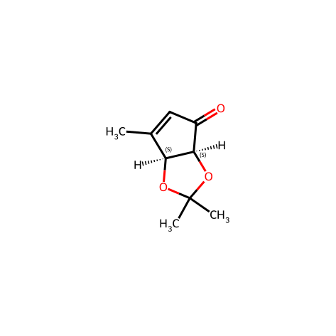 CC1=CC(=O)[C@H]2OC(C)(C)O[C@@H]12